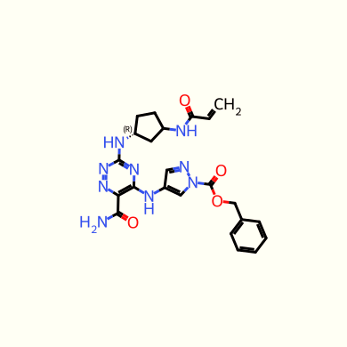 C=CC(=O)NC1CC[C@@H](Nc2nnc(C(N)=O)c(Nc3cnn(C(=O)OCc4ccccc4)c3)n2)C1